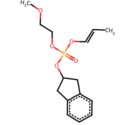 CC=COP(=O)(OCCOC)OC1Cc2ccccc2C1